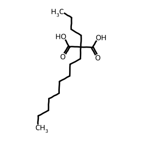 CCCCCCCCCC(CCCC)(C(=O)O)C(=O)O